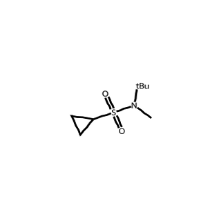 CN(C(C)(C)C)S(=O)(=O)C1CC1